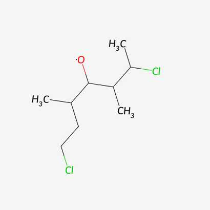 CC(Cl)C(C)C([O])C(C)CCCl